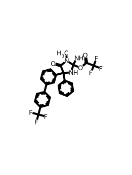 CN1C(=O)C(c2ccccc2)(c2cccc(-c3ccc(C(F)(F)F)cc3)c2)NC1(N)OC(=O)C(F)(F)F